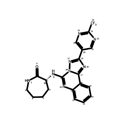 O=C1NCCCC[C@H]1Nc1nc2ccccc2c2nc(-c3cnc(C(F)(F)F)nc3)nn12